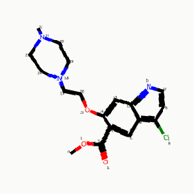 COC(=O)c1cc2c(Cl)ccnc2cc1OCCN1CCN(C)CC1